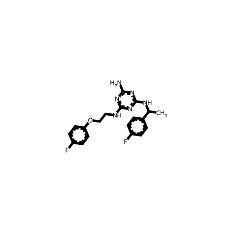 CC(Nc1nc(N)nc(NCCOc2ccc(F)cc2)n1)c1ccc(F)cc1